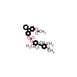 COc1ccc(C(C)(C)c2ccc(OC(=O)Oc3ccc(C4(c5ccc(OC(C)=O)cc5)CCCCC4)cc3)c(C)c2)cc1C